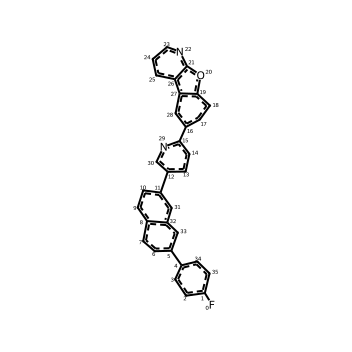 Fc1ccc(-c2ccc3ccc(-c4ccc(-c5ccc6oc7ncccc7c6c5)nc4)cc3c2)cc1